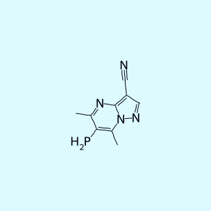 Cc1nc2c(C#N)cnn2c(C)c1P